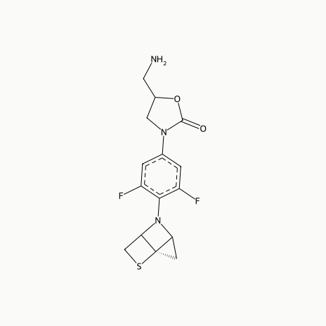 NCC1CN(c2cc(F)c(N3C4CS[C@@]45CC35)c(F)c2)C(=O)O1